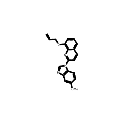 C=CCOc1cccc2ccc(-n3cnc4cc(OC)ccc43)nc12